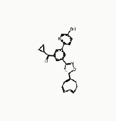 O=C(c1cc(C2=NO[C@H](/C3=C/C=C\C=C\CC3)C2)cc(-c2ccc(O)cn2)c1)C1CC1